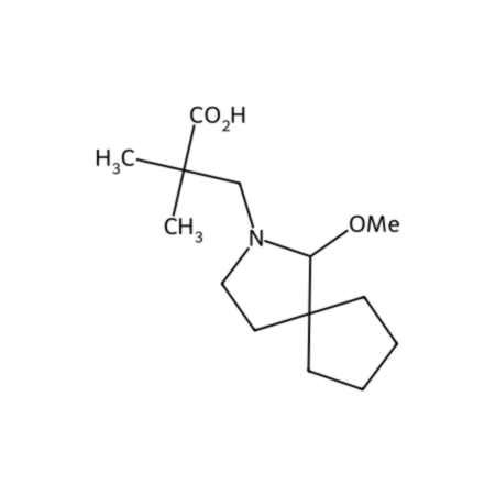 COC1N(CC(C)(C)C(=O)O)CCC12CCCC2